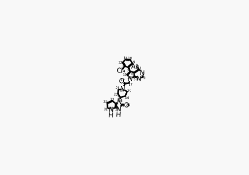 CC(=O)c1ncnc2c1c(-c1ccccc1Cl)cn2CC(=O)N1CCC(n2c3c([nH]c2=O)NCC=C3)CC1